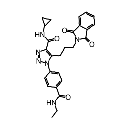 CCNC(=O)c1ccc(-n2nnc(C(=O)NC3CC3)c2CCCN2C(=O)c3ccccc3C2=O)cc1